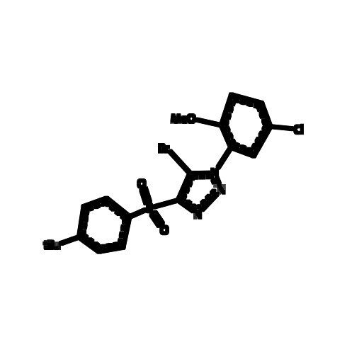 COc1ccc(Cl)cc1-n1nnc(S(=O)(=O)c2ccc(C(C)(C)C)cc2)c1Br